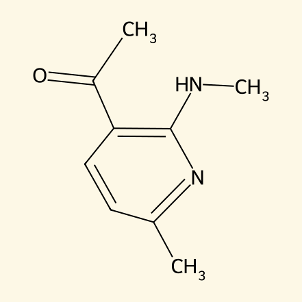 CNc1nc(C)ccc1C(C)=O